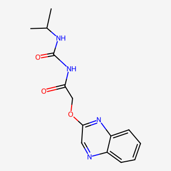 CC(C)NC(=O)NC(=O)COc1cnc2ccccc2n1